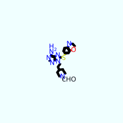 CN1CCOc2cc(Sc3nc4c(N)ncnc4n3CCC3CCN(C=O)CC3)ccc21